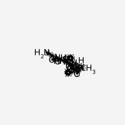 CN[C@H]1CC(=O)N([C@@H](Cc2ccccc2)C(=O)N[C@@H](Cc2ccccc2)C(=O)NCC(=O)NCC(=O)N[C@H](C=O)CCCCN)C1=O